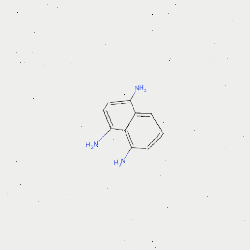 Nc1ccc(N)c2c(N)cccc12